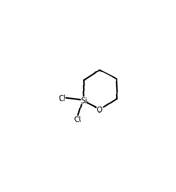 Cl[Si]1(Cl)CCCCO1